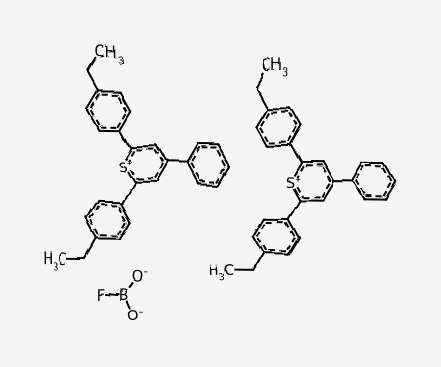 CCc1ccc(-c2cc(-c3ccccc3)cc(-c3ccc(CC)cc3)[s+]2)cc1.CCc1ccc(-c2cc(-c3ccccc3)cc(-c3ccc(CC)cc3)[s+]2)cc1.[O-]B([O-])F